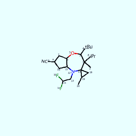 CC(C)C1(C)C(C(C)(C)C)OC2CC(C#N)CC2N(CC(F)F)C12CC2C